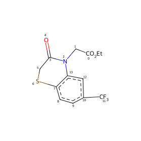 CCOC(=O)CN1C(=O)CSc2ccc(C(F)(F)F)cc21